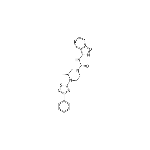 CC1CN(C(=O)Nc2noc3ccccc23)CCN1c1nc(-c2ccccc2)ns1